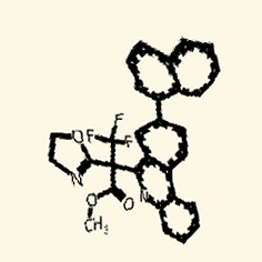 COC(=O)C(C1=NCCO1)(c1nc2ccccc2c2ccc(-c3cccc4ccccc34)cc12)C(F)(F)F